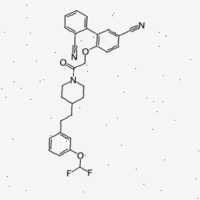 N#Cc1ccc(OCC(=O)N2CCC(CCc3cccc(OC(F)F)c3)CC2)c(-c2ccccc2C#N)c1